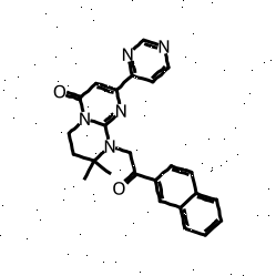 CC1(C)CCn2c(nc(-c3ccncn3)cc2=O)N1CC(=O)c1ccc2ccccc2c1